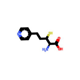 N[C@H](C(=O)O)C(S)CCc1ccncc1